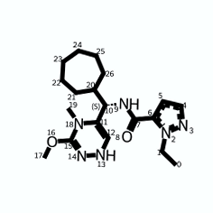 CCn1nccc1C(=O)N[C@H](C1=CNN=C(OC)N1C)C1CCCCCC1